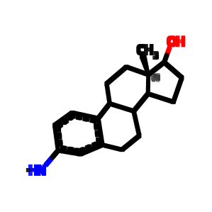 C[C@]12CCC3c4ccc([NH])cc4CCC3C1CCC2O